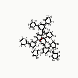 c1ccc(-c2cc(-c3ccccc3)cc(-c3ccc(N(c4cc(-c5ccccc5)cc(-c5ccccc5)c4)c4ccccc4-c4cccc(-c5cccc6c5c5ccccc5n6-c5ccccc5)c4)cc3)c2)cc1